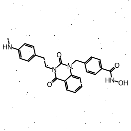 CNc1ccc(CCn2c(=O)c3ccccc3n(Cc3ccc(C(=O)NO)cc3)c2=O)cc1